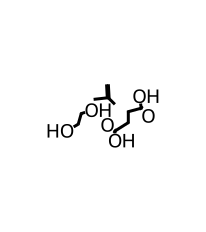 C=C(C)C.O=C(O)CCC(=O)O.OCCO